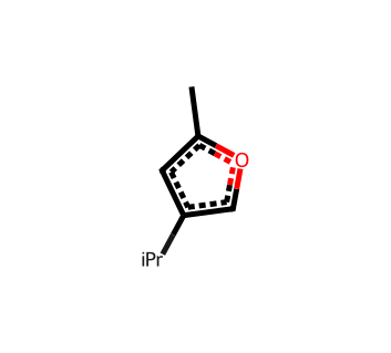 [CH]C(C)c1coc(C)c1